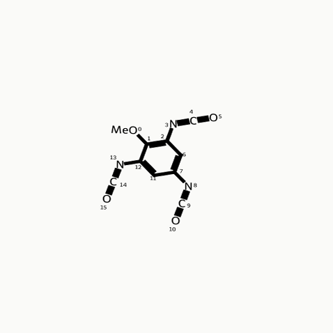 COc1c(N=C=O)cc(N=C=O)cc1N=C=O